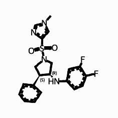 Cn1cnc(S(=O)(=O)N2C[C@H](Nc3ccc(F)c(F)c3)[C@@H](c3ccccc3)C2)c1